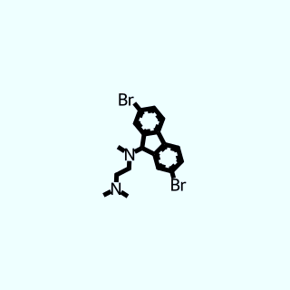 CN(C)CCN(C)C1c2cc(Br)ccc2-c2ccc(Br)cc21